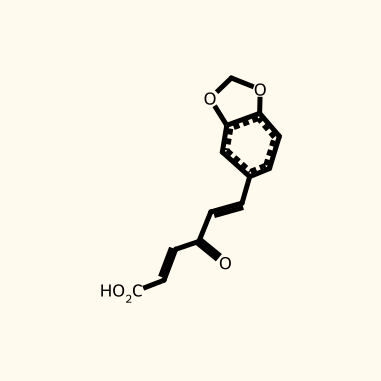 O=C(O)C=CC(=O)C=Cc1ccc2c(c1)OCO2